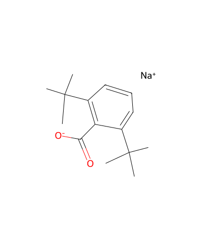 CC(C)(C)c1cccc(C(C)(C)C)c1C(=O)[O-].[Na+]